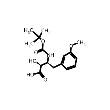 COc1cccc(C[C@H](NC(=O)OC(C)(C)C)[C@H](O)C(=O)O)c1